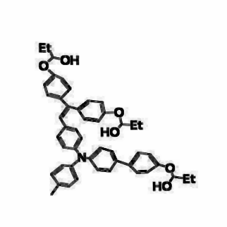 CCC(O)Oc1ccc(C(=Cc2ccc(N(c3ccc(C)cc3)c3ccc(-c4ccc(OC(O)CC)cc4)cc3)cc2)c2ccc(OC(O)CC)cc2)cc1